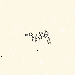 Nc1ncnn2c(CN3CCOCC3)cc(-c3ccc(NC(=O)Nc4cccc(O)c4)c(I)c3)c12